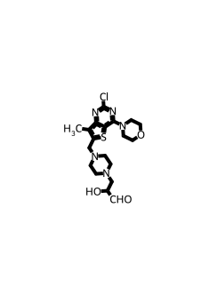 Cc1c(CN2CCN(CC(O)C=O)CC2)sc2c(N3CCOCC3)nc(Cl)nc12